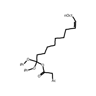 CCCCCCCC/C=C\CCCCCCCC(OC(=O)CC(C)=O)(OC(C)C)OC(C)C